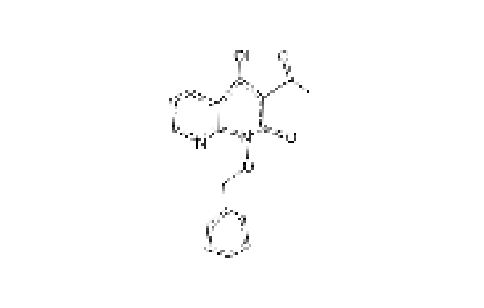 CC(=O)c1c(O)c2cccnc2n(OCc2ccccc2)c1=O